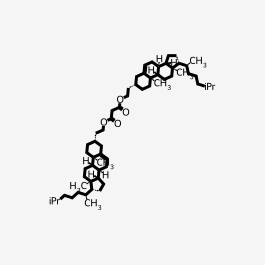 CC(C)CCC[C@@H](C)[C@H]1CC[C@H]2[C@@H]3CC=C4C[C@@H](CCOC(=O)CC(=O)OCC[C@H]5CC[C@@]6(C)C(=CC[C@H]7[C@@H]8CC[C@H]([C@H](C)CCCC(C)C)[C@@]8(C)CC[C@@H]76)C5)CC[C@]4(C)[C@H]3CC[C@]12C